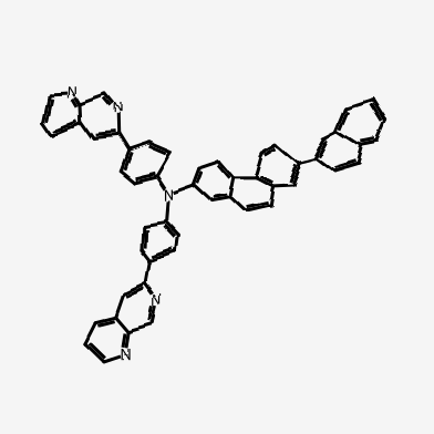 c1ccc2cc(-c3ccc4c(ccc5cc(N(c6ccc(-c7cc8cccnc8cn7)cc6)c6ccc(-c7cc8cccnc8cn7)cc6)ccc54)c3)ccc2c1